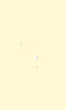 CCC(O)C(C)C1OC1CC(C)/C=C/CC(C)C1OC(=O)CC(O)CCC(C)(O)C(OC(C)=O)CCC1C